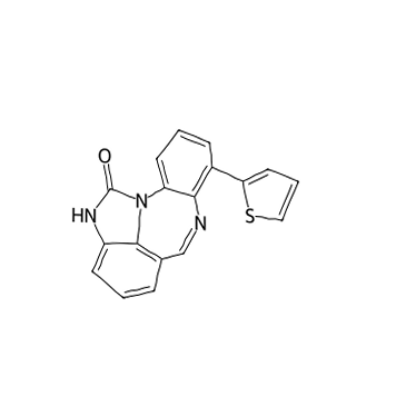 O=c1[nH]c2cccc3c2n1-c1cccc(-c2cccs2)c1N=C3